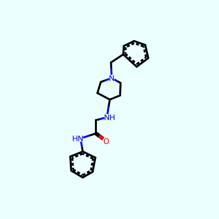 O=C(CNC1CCN(Cc2ccccc2)CC1)Nc1ccccc1